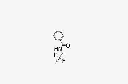 O=C(N[CH]C(F)(F)F)c1ccccc1